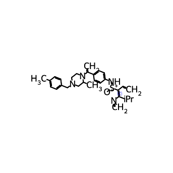 C=C/C(=C(/N=C)C(C)C)[S+]([O-])Nc1ccc(C(=C)N2CCN(Cc3ccc(C)cc3)CC2C)cc1